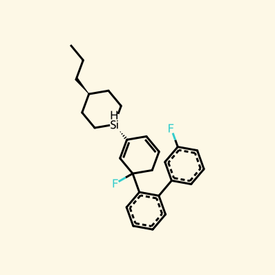 CCC[C@H]1CC[Si@H](C2=CC(F)(c3ccccc3-c3cccc(F)c3)CC=C2)CC1